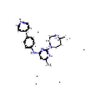 Cc1cc(Nc2ccc(-c3ccncc3)cc2)nc(N2CCNC(C)CC2)n1